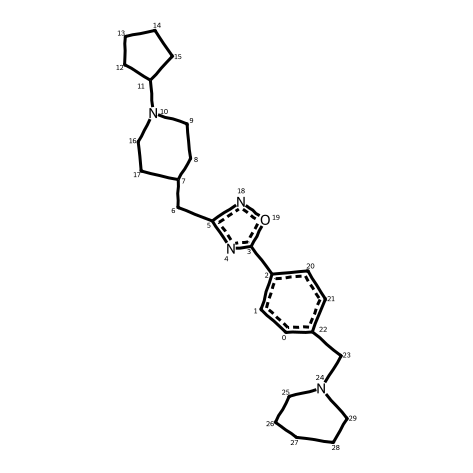 c1cc(-c2nc(CC3CCN(C4CCCC4)CC3)no2)ccc1CN1CCCCC1